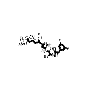 CCC(NC(=O)Cc1cc(F)cc(F)c1)C(=O)Nc1cc(C(C)CCCC(C)(C)OC)n[nH]1